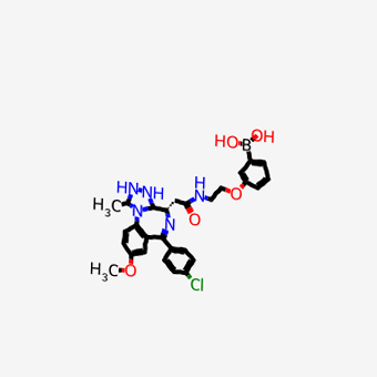 COc1ccc2c(c1)C(c1ccc(Cl)cc1)=N[C@@H](CC(=O)NCCOc1cccc(B(O)O)c1)C1NNC(C)N21